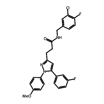 COc1ccc(-n2nc(CCC(=O)NCc3ccc(F)c(Cl)c3)cc2-c2cccc(F)c2)cc1